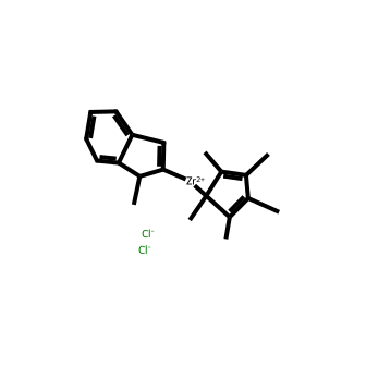 CC1=C(C)[C](C)([Zr+2][C]2=Cc3ccccc3C2C)C(C)=C1C.[Cl-].[Cl-]